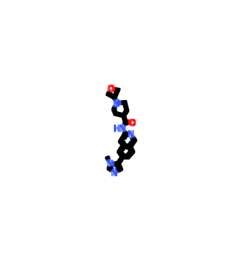 Cn1cncc1-c1ccc2cnc(NC(=O)C3CCN(C4COC4)CC3)cc2c1